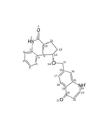 O=c1[nH]c2ccccc2c2c1CCC2OCc1ccc2c(=O)cc[nH]c2c1